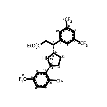 CCOC(=O)CC(c1cc(C(F)(F)F)cc(C(F)(F)F)c1)[C@@H]1CC[C@@H](c2cc(C(F)(F)F)ccc2Cl)N1